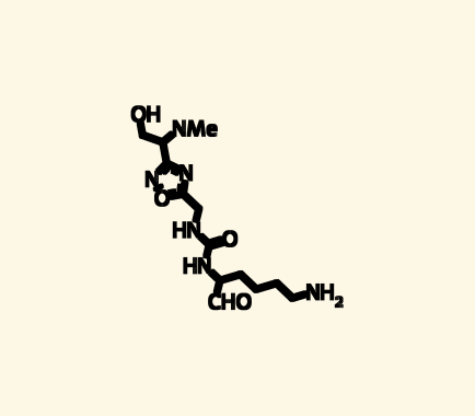 CNC(CO)c1noc(CNC(=O)NC(C=O)CCCCN)n1